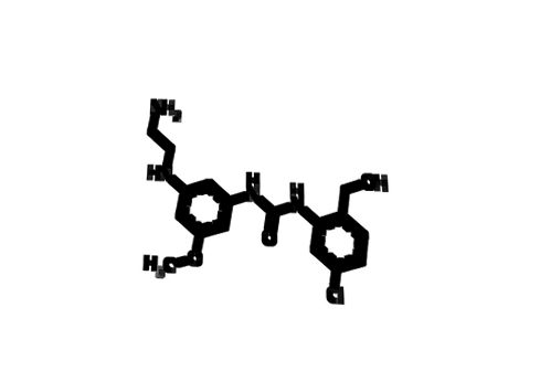 COc1cc(NCCN)cc(NC(=O)Nc2cc(Cl)ccc2CO)c1